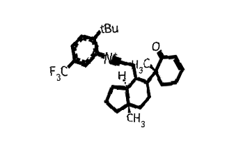 CC(C)(C)c1ccc(C(F)(F)F)cc1[N+]#CCC1C([C@@]2(C)CCC=CC2=O)CC[C@]2(C)CCC[C@@H]12